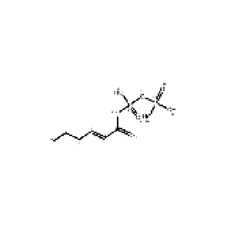 CCCC=CC(=O)OP(=O)(O)OP(=O)(O)O